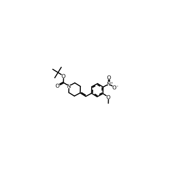 COc1cc(C=C2CCN(C(=O)OC(C)(C)C)CC2)ccc1[N+](=O)[O-]